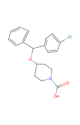 O=C(O)N1CCC(OC(c2ccccc2)c2ccc(Cl)cc2)CC1